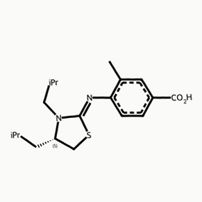 Cc1cc(C(=O)O)ccc1N=C1SC[C@H](CC(C)C)N1CC(C)C